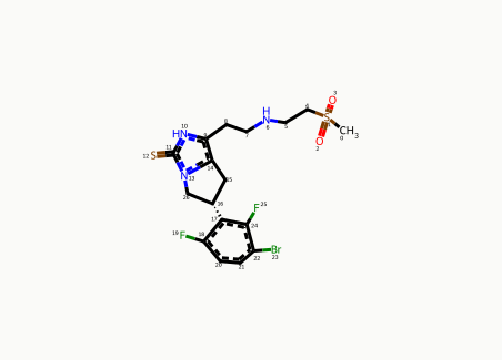 CS(=O)(=O)CCNCCc1[nH]c(=S)n2c1C[C@H](c1c(F)ccc(Br)c1F)C2